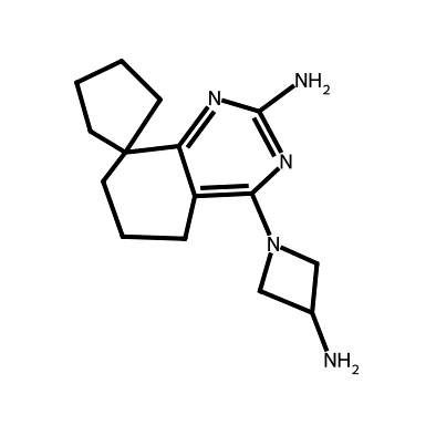 Nc1nc(N2CC(N)C2)c2c(n1)C1(CCCC1)CCC2